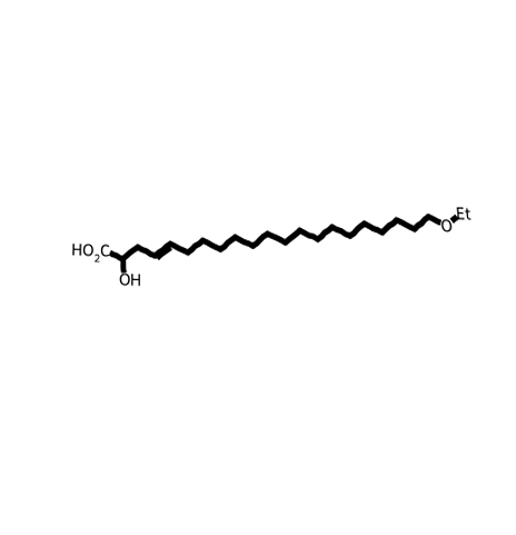 CCOCCCCCCCCCCCCCCCCC=CCC(O)C(=O)O